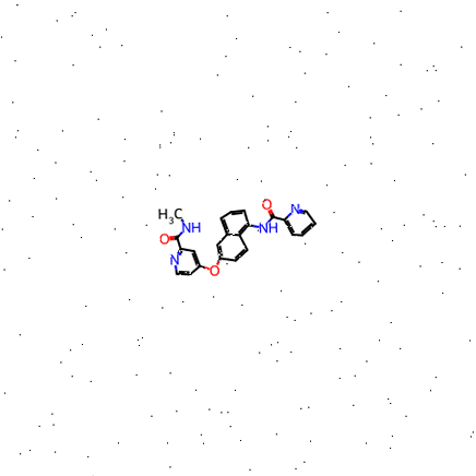 CNC(=O)c1cc(Oc2ccc3c(NC(=O)c4ccccn4)cccc3c2)ccn1